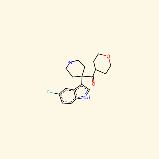 O=C(C1CCOCC1)C1(c2c[nH]c3ccc(F)cc23)CC[N]CC1